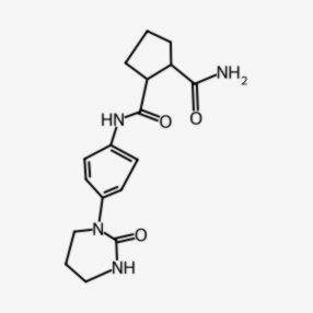 NC(=O)C1CCCC1C(=O)Nc1ccc(N2CCCNC2=O)cc1